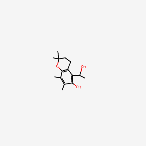 Cc1c(C)c2c(c(C(C)O)c1O)CCC(C)(C)O2